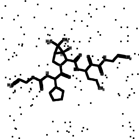 C=CCNC(=O)C(=O)C(CCC)NC(=O)C1[C@@H]2C(CN1C(=O)C(NC(=O)OCC=C)C1CCCC1)C2(C)C